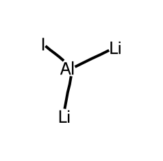 [Li][Al]([Li])[I]